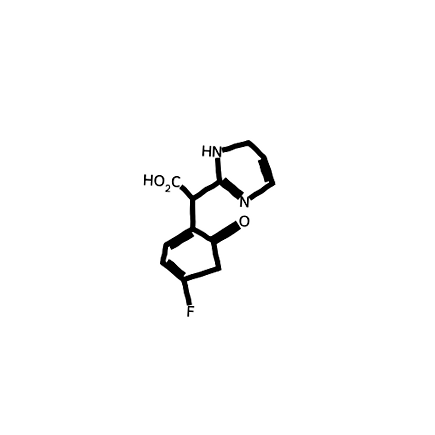 O=C1CC(F)=CC=C1C(C(=O)O)C1=NC=CCN1